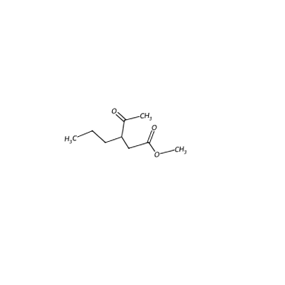 CCCC(CC(=O)OC)C(C)=O